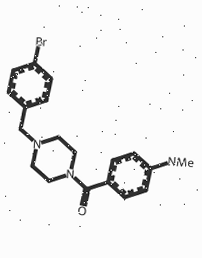 CNc1ccc(C(=O)N2CCN(Cc3ccc(Br)cc3)CC2)cc1